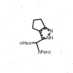 CCCCCCC(CCCCC)c1[nH]nc2c1CCC2